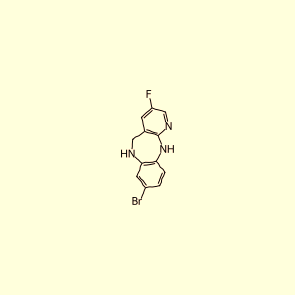 Fc1cnc2c(c1)CNc1cc(Br)ccc1N2